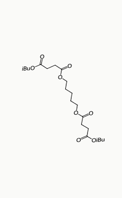 CC(C)COC(=O)CCC(=O)OCCCCCOC(=O)CCC(=O)OCC(C)C